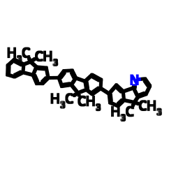 CC1(C)c2ccccc2-c2ccc(-c3ccc4c(c3)C(C)(C)c3cc(-c5ccc6c(c5)-c5ncccc5C6(C)C)ccc3-4)cc21